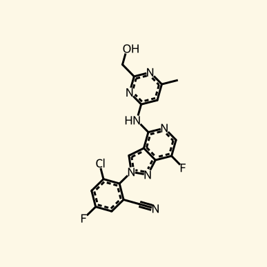 Cc1cc(Nc2ncc(F)c3nn(-c4c(Cl)cc(F)cc4C#N)cc23)nc(CO)n1